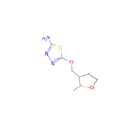 CC1OCCC1COc1nnc(N)s1